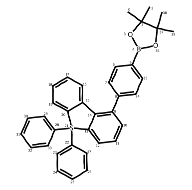 CC1(C)OB(c2ccc(-c3cccc4c3-c3ccccc3S4(c3ccccc3)c3ccccc3)cc2)OC1(C)C